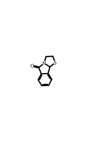 O=C1c2ccccc2C2SCCN12